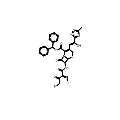 Cc1nnc(C(S)=CC2=C(C(=O)OC(c3ccccc3)c3ccccc3)N3C(=O)C(NC(=O)C(=NO)C(=O)CBr)C3SC2)s1